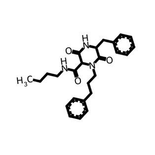 CCCCNC(=O)C1C(=O)NC(Cc2ccccc2)C(=O)N1CCCc1ccccc1